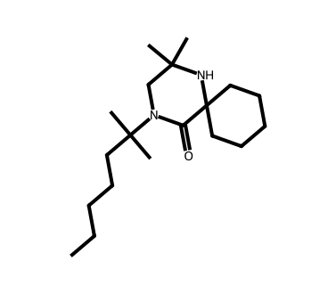 CCCCCC(C)(C)N1CC(C)(C)NC2(CCCCC2)C1=O